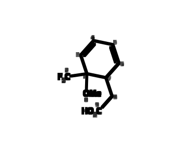 COC1(C(F)(F)F)C=CC=CC1CC(=O)O